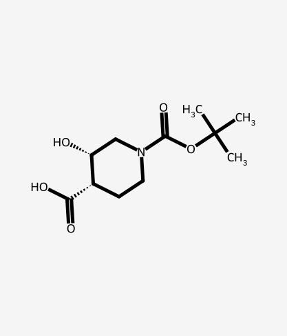 CC(C)(C)OC(=O)N1CC[C@H](C(=O)O)[C@H](O)C1